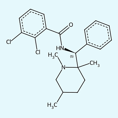 CC1CCC(C)([C@@H](NC(=O)c2cccc(Cl)c2Cl)c2ccccc2)N(C)C1